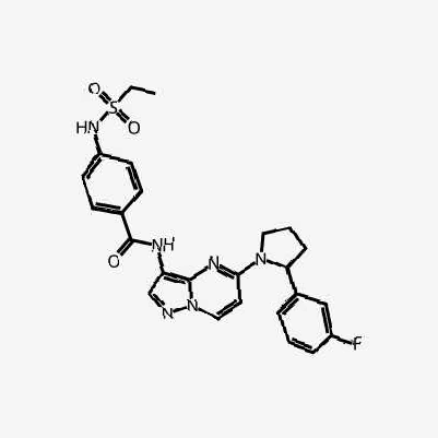 CCS(=O)(=O)Nc1ccc(C(=O)Nc2cnn3ccc(N4CCCC4c4cccc(F)c4)nc23)cc1